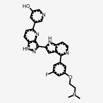 CN(C)CCOc1cc(F)cc(-c2nccc3[nH]c(-c4n[nH]c5ccc(-c6cncc(O)c6)nc45)cc23)c1